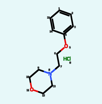 Cl.c1ccc(OCCN2CCOCC2)cc1